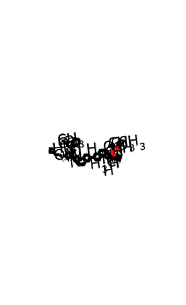 COC(=O)N[C@H](C(=O)N1[C@H]2CC[C@H](C2)C1(C)c1nc2ccc3cc(-c4ccc5c(ccc6nc([C@@H]7C[C@H](COCC8CCC8)CN7C(=O)[C@H](NC(=O)OC)c7ccccc7)[nH]c65)c4)ccc3c2[nH]1)C(C)C